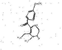 CCC1=C(C(=O)c2ccc(OC)cc2)NCC(Br)N1C